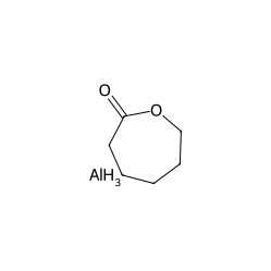 O=C1CCCCCO1.[AlH3]